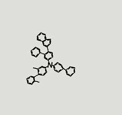 Cc1ccccc1-c1ccc(N(c2ccc(-c3ccccc3)cc2)c2ccc(-c3ccc4ccccc4c3)c(-c3ccccc3)c2)cc1C